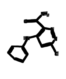 NC(=O)c1nnc(Cl)cc1Nc1ccccc1